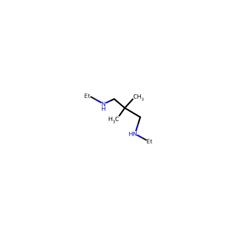 CCNCC(C)(C)CNCC